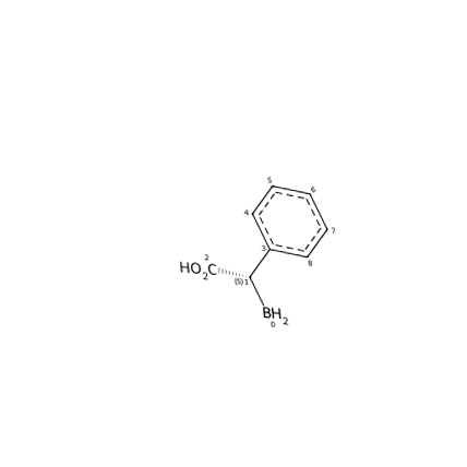 B[C@H](C(=O)O)c1ccccc1